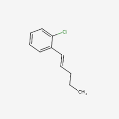 CCCC=Cc1ccccc1Cl